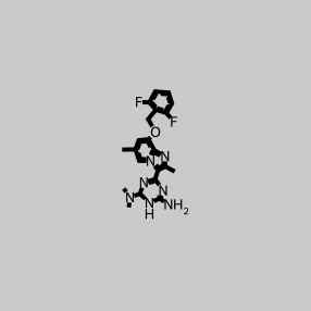 Cc1cc(OCc2c(F)cccc2F)c2nc(C)c(C3=NC(N(C)C)NC(N)=N3)n2c1